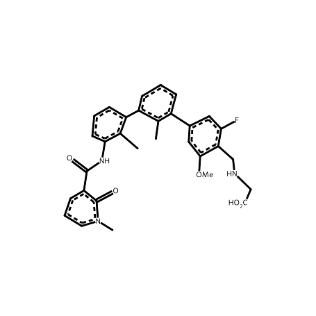 COc1cc(-c2cccc(-c3cccc(NC(=O)c4cccn(C)c4=O)c3C)c2C)cc(F)c1CNCC(=O)O